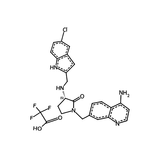 Nc1ccnc2cc(CN3CC[C@H](NCc4cc5cc(Cl)ccc5[nH]4)C3=O)ccc12.O=C(O)C(F)(F)F